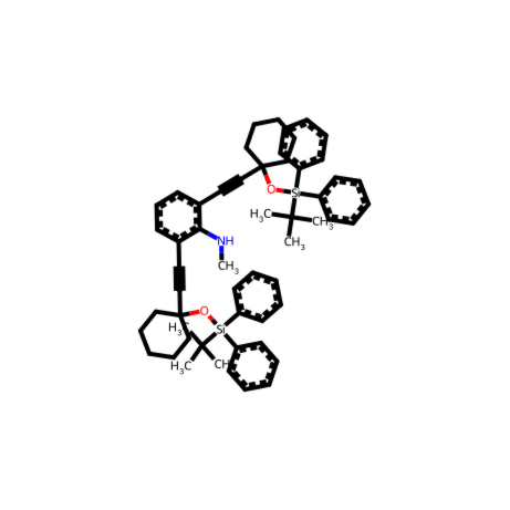 CNc1c(C#CC2(O[Si](c3ccccc3)(c3ccccc3)C(C)(C)C)CCCCC2)cccc1C#CC1(O[Si](c2ccccc2)(c2ccccc2)C(C)(C)C)CCCCC1